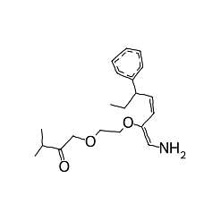 CCC(/C=C\C(=C/N)OCCOCC(=O)C(C)C)c1ccccc1